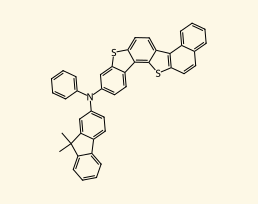 CC1(C)c2ccccc2-c2ccc(N(c3ccccc3)c3ccc4c(c3)sc3ccc5c(sc6ccc7ccccc7c65)c34)cc21